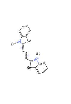 CCN1/C(=C/C=C/c2[se]c3ccccc3[n+]2CC)[Se]c2ccccc21